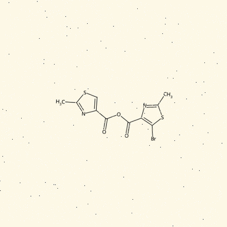 Cc1nc(C(=O)OC(=O)c2nc(C)sc2Br)cs1